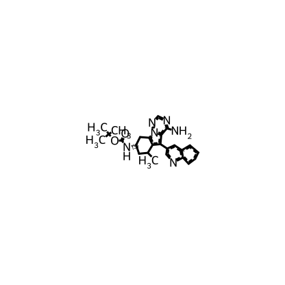 CC1C[C@H](NC(=O)OC(C)(C)C)Cc2c1c(-c1cnc3ccccc3c1)c1c(N)ncnn21